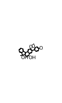 COc1ccc(-c2cc3c(O)cc4c(c3cc2OC)-c2ccccc2C4(C)O)c(OC)c1